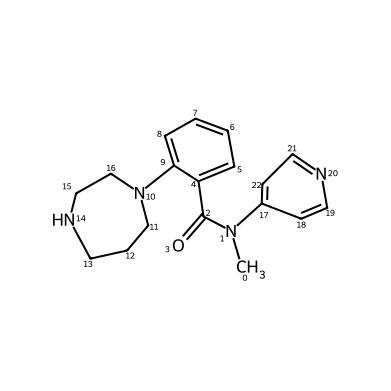 CN(C(=O)c1ccccc1N1CCCNCC1)c1ccncc1